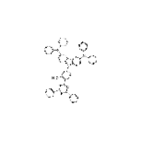 Cc1cc(-n2c3ccc(N(c4ccccc4)c4ccccc4)cc3c3cc(N(c4ccccc4)c4ccccc4)ccc32)ccc1-c1nc(-c2ccccc2)nc(-c2ccccc2)n1